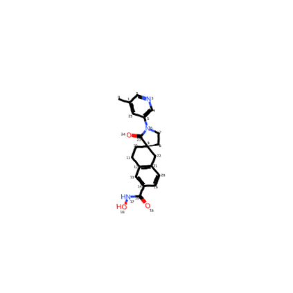 Cc1cncc(N2CC[C@@]3(CCc4cc(C(=O)NO)ccc4C3)C2=O)c1